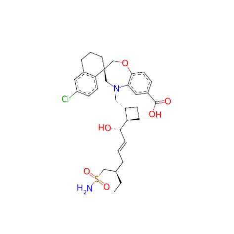 CC[C@H](CC=C[C@H](O)[C@@H]1CC[C@H]1CN1C[C@@]2(CCCc3cc(Cl)ccc32)COc2ccc(C(=O)O)cc21)CS(N)(=O)=O